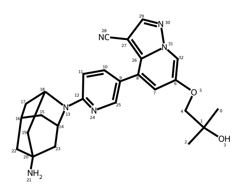 CC(C)(O)COc1cc(-c2ccc(N3C4CC5CC3CC(N)(C5)C4)nc2)c2c(C#N)cnn2c1